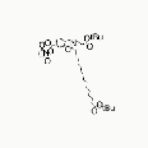 CC(C)(C)OC(=O)CCCCCCCCCCCCCCC(=O)N(CCC(=O)OC(C)(C)C)Cc1ccc(C(=O)ON2C(=O)CCC2=O)cc1